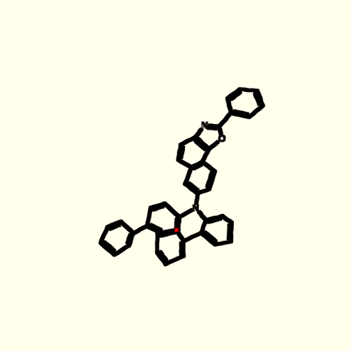 c1ccc(-c2ccc(N(c3ccc4c(ccc5nc(-c6ccccc6)oc54)c3)c3ccccc3-c3ccccc3)cc2)cc1